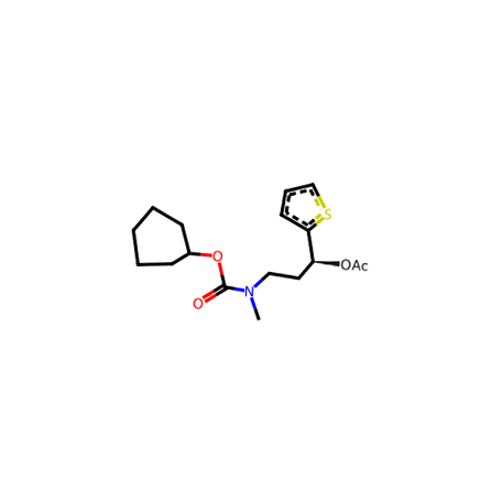 CC(=O)O[C@@H](CCN(C)C(=O)OC1CCCCC1)c1cccs1